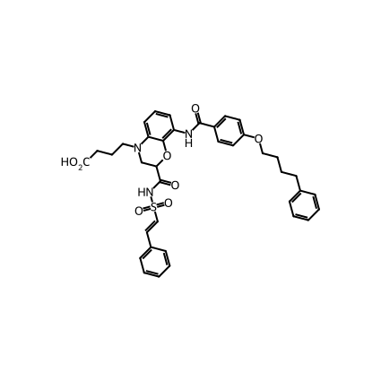 O=C(O)CCCN1CC(C(=O)NS(=O)(=O)/C=C/c2ccccc2)Oc2c(NC(=O)c3ccc(OCCCCc4ccccc4)cc3)cccc21